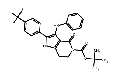 CC(C)(C)OC(=O)N1CCc2[nH]c(-c3ccc(C(F)(F)F)cc3)c(Nc3ccccc3)c2C1=O